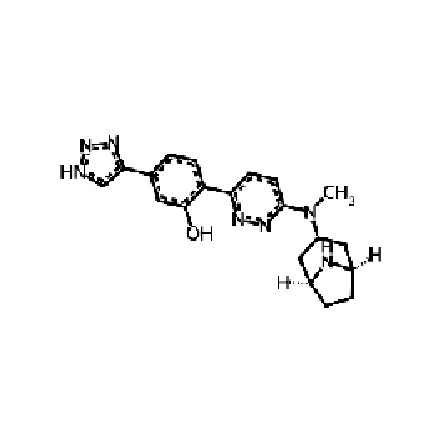 CN(c1ccc(-c2ccc(-c3c[nH]nn3)cc2O)nn1)[C@H]1C[C@H]2CC[C@@H](C1)N2